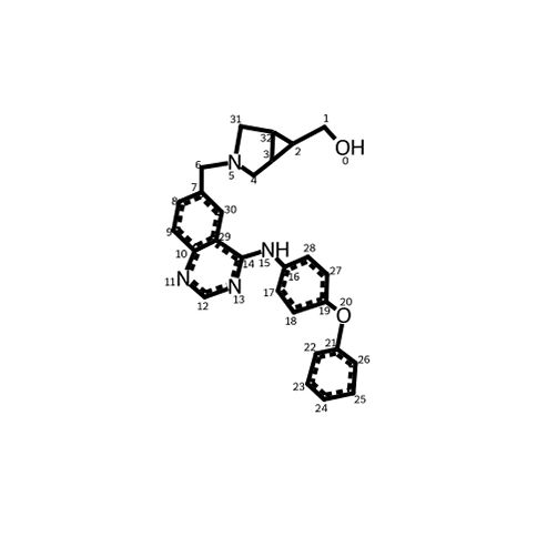 OCC1C2CN(Cc3ccc4ncnc(Nc5ccc(Oc6ccccc6)cc5)c4c3)CC12